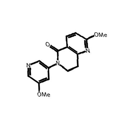 COc1cncc(N2CCc3nc(OC)ccc3C2=O)c1